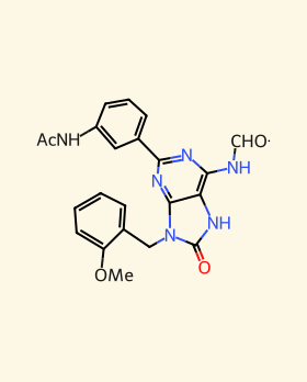 COc1ccccc1Cn1c(=O)[nH]c2c(N[C]=O)nc(-c3cccc(NC(C)=O)c3)nc21